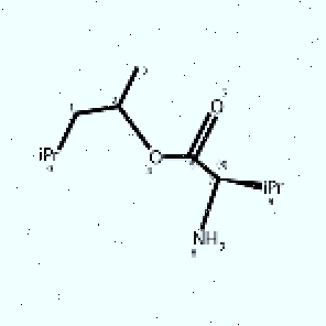 CC(C)CC(C)OC(=O)[C@H](N)C(C)C